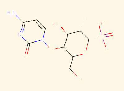 Nc1ccn(OC2C(CO)O[C@@H](P(=O)(O)O)[C@@H](O)[C@@H]2O)c(=O)n1